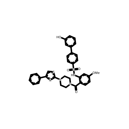 COc1ccc(C(=O)N2CCN(c3nc(-c4ccccc4)cs3)CC2)c(NS(=O)(=O)c2ccc(-c3cccc(O)c3)cc2)c1